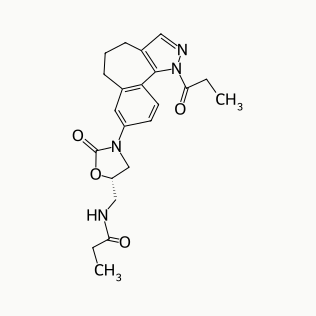 CCC(=O)NC[C@H]1CN(c2ccc3c(c2)CCCc2cnn(C(=O)CC)c2-3)C(=O)O1